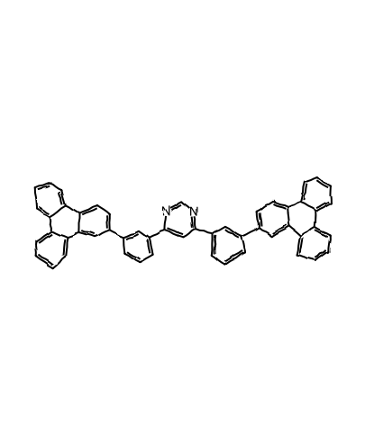 c1cc(-c2ccc3c4ccccc4c4ccccc4c3c2)cc(-c2cc(-c3cccc(-c4ccc5c6ccccc6c6ccccc6c5c4)c3)ncn2)c1